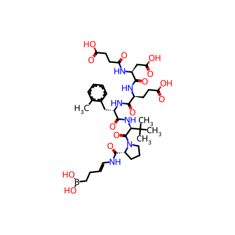 Cc1ccccc1C[C@H](NC(=O)[C@H](CCC(=O)O)NC(=O)[C@H](CC(=O)O)NC(=O)CCC(=O)O)C(=O)N[C@H](C(=O)N1CCC[C@@H]1C(=O)NC=CCCB(O)O)C(C)(C)C